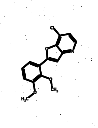 COc1cccc(-c2cc3nccc(Cl)c3o2)c1OC